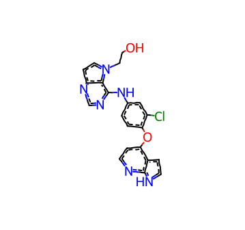 OCCn1ccc2ncnc(Nc3ccc(Oc4ccnc5[nH]ccc45)c(Cl)c3)c21